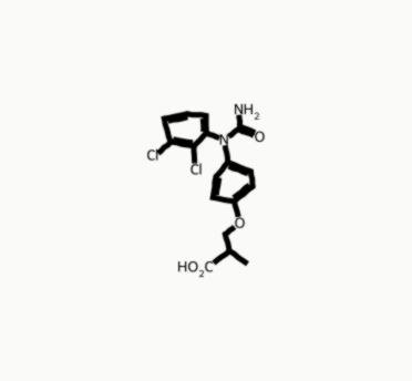 CC(COc1ccc(N(C(N)=O)c2cccc(Cl)c2Cl)cc1)C(=O)O